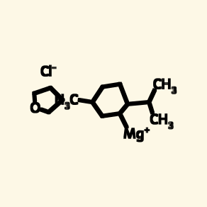 C1CCOC1.CC1CCC(C(C)C)[CH]([Mg+])C1.[Cl-]